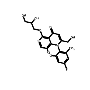 Cc1cc(F)cc(Cl)c1-n1c(CO)cc(=O)c2c(OCC(O)CO)ncc(Cl)c21